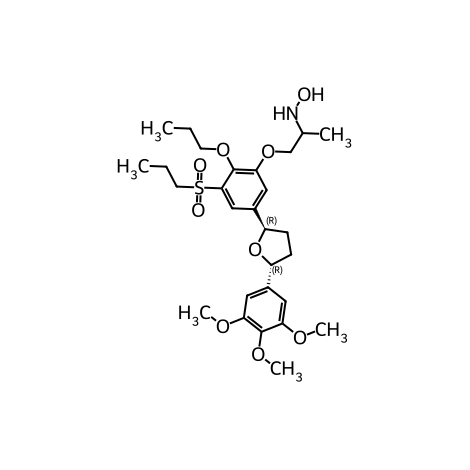 CCCOc1c(OCC(C)NO)cc([C@H]2CC[C@H](c3cc(OC)c(OC)c(OC)c3)O2)cc1S(=O)(=O)CCC